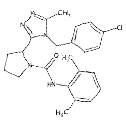 Cc1cccc(C)c1NC(=O)N1CCCC1c1nnc(C)n1Cc1ccc(Cl)cc1